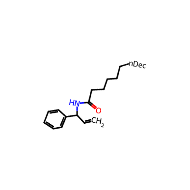 C=CC(NC(=O)CCCCCCCCCCCCCCC)c1ccccc1